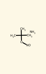 CC(C)(C)ON=O.N